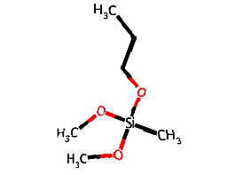 CCCO[Si](C)(OC)OC